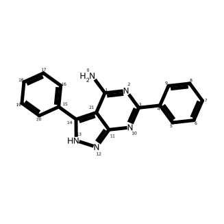 Nc1nc(-c2ccccc2)nc2n[nH]c(-c3ccccc3)c12